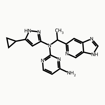 CC(c1cc2nc[nH]c2cn1)N(c1cc(C2CC2)[nH]n1)c1nccc(N)n1